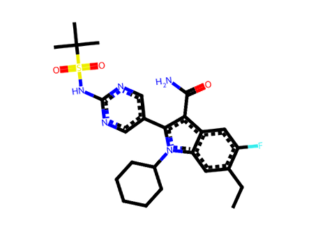 CCc1cc2c(cc1F)c(C(N)=O)c(-c1cnc(NS(=O)(=O)C(C)(C)C)nc1)n2C1CCCCC1